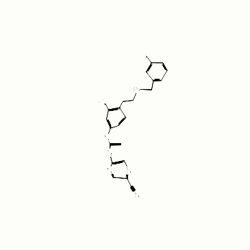 Cl.N#Cc1cnc(NC(=O)Nc2ccc(CCNCc3cccc(Cl)c3)c(Cl)c2)cn1